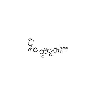 CNC(=O)N1CCC(N2CCC(Cc3c(Cl)cc(-c4ccc(C(=O)N5CCC(C(F)(F)F)CC5)cc4)cc3Cl)C2=O)CC1